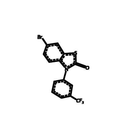 O=c1sc2cc(Br)ccc2n1-c1cccc(C(F)(F)F)c1